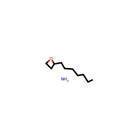 CCCCCCCC1CCO1.N